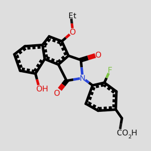 CCOc1cc2cccc(O)c2c2c1C(=O)N(c1ccc(CC(=O)O)cc1F)C2=O